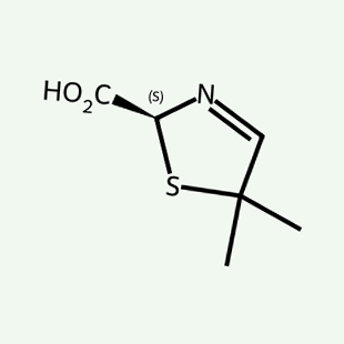 CC1(C)C=N[C@H](C(=O)O)S1